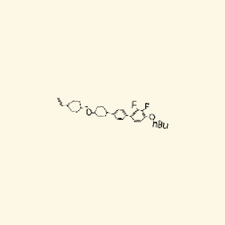 C=CC1CCC(COC2CCC(c3ccc(-c4ccc(OCCCC)c(F)c4F)cc3)CC2)CC1